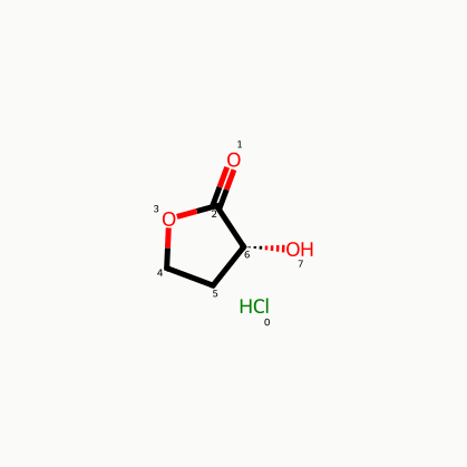 Cl.O=C1OCC[C@H]1O